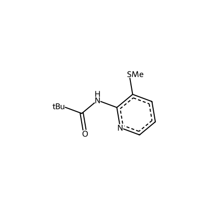 CSc1cccnc1NC(=O)C(C)(C)C